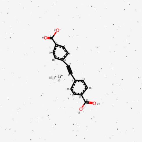 O=C([O-])c1ccc(C#Cc2ccc(C(=O)[O-])cc2)cc1.[Li+].[Li+]